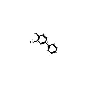 Cc1ccc(-c2ccccc2)cc1[NH]